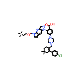 CC1(C)CCC(CN2CCN(c3ccc(C(=O)O)c(-n4ncc5nc6c(ccn6COCC[Si](C)(C)C)cc54)c3)CC2)=C(c2ccc(Cl)cc2)C1